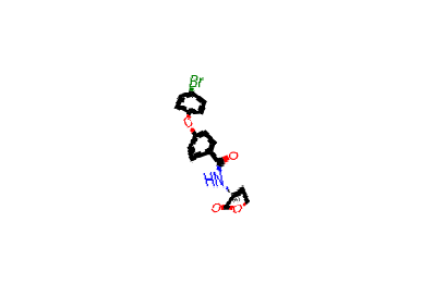 O=C(N[C@@H]1CCOC1=O)c1ccc(Oc2ccc(Br)cc2)cc1